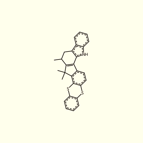 CC1Cc2c([nH]c3ccccc23)C2=C1C(C)(C)c1c2ccc2c1Sc1ccccc1S2